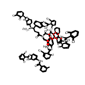 CCOC(=O)N(c1ccc2nc(-c3cccc(Cl)c3Cl)[nH]c2c1)C(CCC(=O)N(CC(C)CC(=O)N(c1ccc2nc(-c3c(Cl)cccc3Cl)[nH]c2c1)C(C(=O)Nc1ccc2nc(-c3c(Cl)cccc3Cl)[nH]c2c1)c1ccccc1)C(OCC)C(=O)Nc1ccc2nc(-c3c(Cl)cccc3Cl)[nH]c2c1)c1ccc2nc(-c3c(Cl)cccc3Cl)[nH]c2c1.Cc1cccc(C(=O)Nc2ccc3nc(-c4c(Cl)cccc4Cl)[nH]c3c2)c1